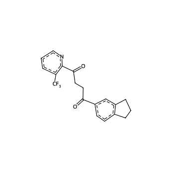 O=C(CCC(=O)c1ncccc1C(F)(F)F)c1ccc2c(c1)CCC2